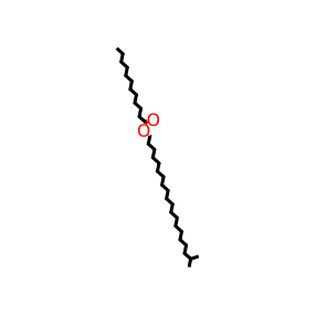 CCCCCCCCCCCC(=O)OCCCCCCCCCCCCCCCCCCC(C)C